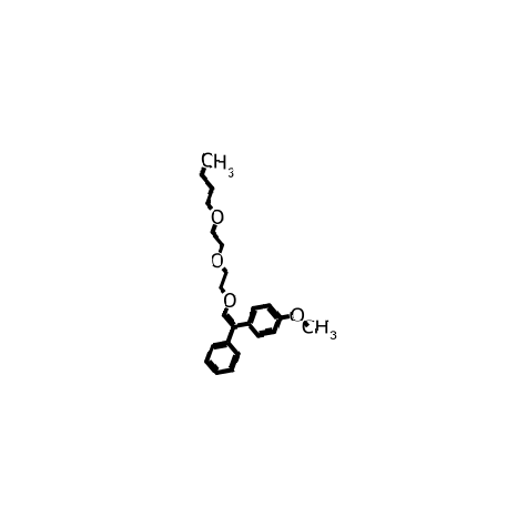 CCCCOCCOCCOC=C(c1ccccc1)c1ccc(OC)cc1